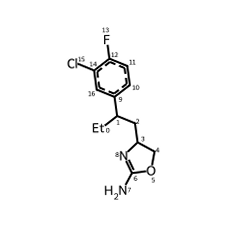 CCC(CC1COC(N)=N1)c1ccc(F)c(Cl)c1